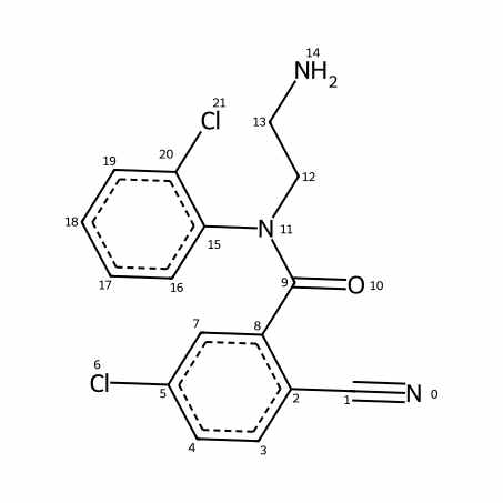 N#Cc1ccc(Cl)cc1C(=O)N(CCN)c1ccccc1Cl